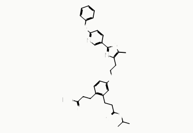 Cc1oc(-c2ccc(Oc3ccccc3)nc2)nc1CCOc1ccc(CCC(=O)O)c(CCC(=O)OC(C)C)c1